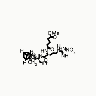 COC(=O)CCCC(=O)N[C@@H](CCCNC(=N)N[N+](=O)[O-])C(=O)N[C@@H](CC(C)C)B1O[C@@H]2C[C@@H]3C[C@@H](C3(C)C)[C@]2(C)O1